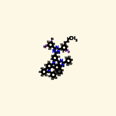 CCCCc1cc(I)cc(-c2nc(-c3cc(I)cc(I)c3)nc(-c3ccc(-n4c5ccccc5c5c4ccc4c6ccccc6n(-c6ccccc6)c45)c(-c4cc(-c5ccccc5)nc(-c5ccccc5)n4)c3)n2)c1